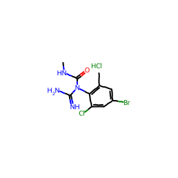 CNC(=O)N(C(=N)N)c1c(C)cc(Br)cc1Cl.Cl